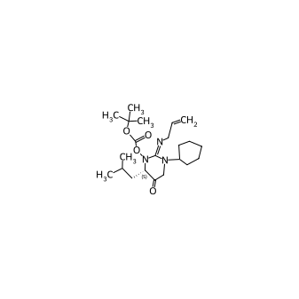 C=CCN=C1N(C2CCCCC2)CC(=O)[C@H](CC(C)C)N1OC(=O)OC(C)(C)C